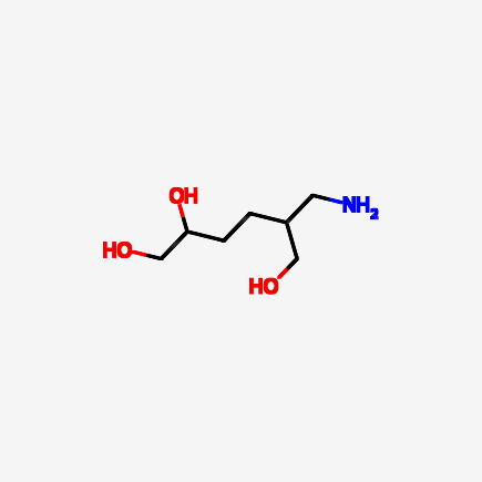 NCC(CO)CCC(O)CO